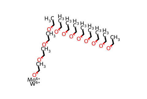 CC[O-].CC[O-].CC[O-].CC[O-].CC[O-].CC[O-].CC[O-].CC[O-].CC[O-].CC[O-].CC[O-].CC[O-].[Mo+6].[W+6]